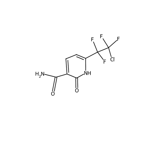 NC(=O)c1ccc(C(F)(F)C(F)(F)Cl)[nH]c1=O